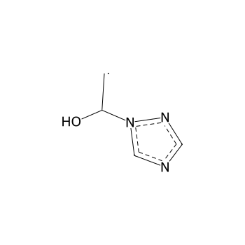 [CH2]C(O)n1cncn1